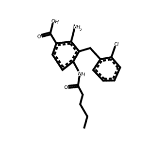 CCCCC(=O)Nc1ccc(C(=O)O)c(N)c1Cc1ccccc1Cl